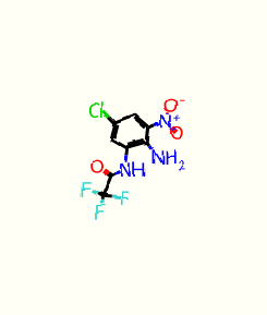 Nc1c(NC(=O)C(F)(F)F)cc(Cl)cc1[N+](=O)[O-]